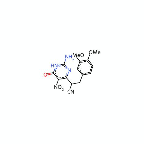 COc1ccc(CC(C#N)c2nc(N)[nH]c(=O)c2[N+](=O)[O-])cc1OC